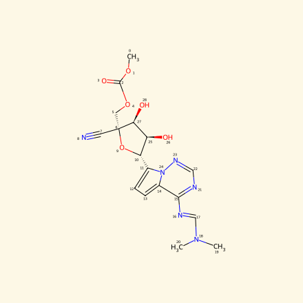 COC(=O)OC[C@@]1(C#N)O[C@@H](c2ccc3c(N=CN(C)C)ncnn23)[C@H](O)[C@@H]1O